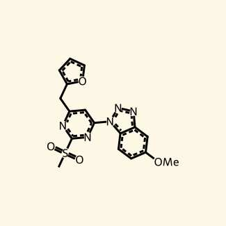 COc1ccc2c(c1)nnn2-c1cc(Cc2ccco2)nc(S(C)(=O)=O)n1